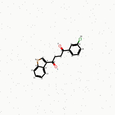 O=C(CCC(=O)c1csc2ccccc12)c1cccc(Cl)c1